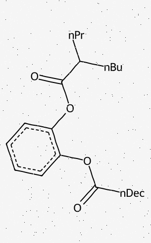 CCCCCCCCCCC(=O)Oc1ccccc1OC(=O)C(CCC)CCCC